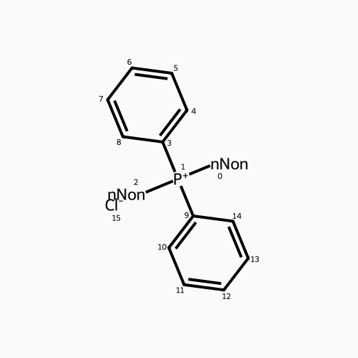 CCCCCCCCC[P+](CCCCCCCCC)(c1ccccc1)c1ccccc1.[Cl-]